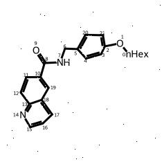 CCCCCCOc1ccc(CNC(=O)c2ccc3ncccc3c2)cc1